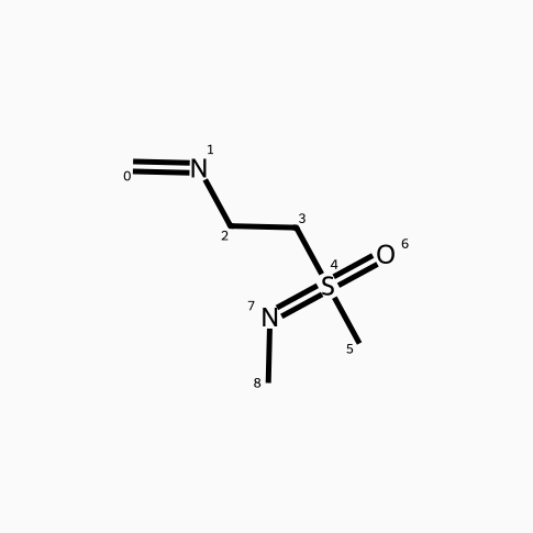 C=NCCS(C)(=O)=NC